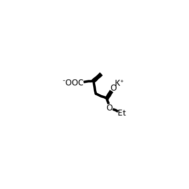 C=C(CC(=O)OCC)C(=O)[O-].[K+]